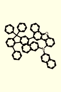 c1ccc(-c2cccc3c2-c2ccc(-c4cc5c(oc6cccc(N(c7ccc8ccccc8c7)c7ccc8ccccc8c7)c65)c5ccccc45)cc2C3(c2ccccc2)c2ccccc2)cc1